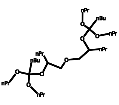 CCCCC(OCCC)(OCCC)OC(CCC)COCC(CCC)OC(CCCC)(OCCC)OCCC